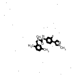 Cc1ccc(C)c(CN(C)C(=O)Nc2ccc(C3C=NN(C)C3)c(F)c2)c1